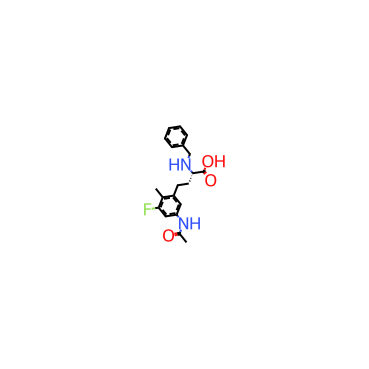 CC(=O)Nc1cc(F)c(C)c(CC[C@H](NCc2ccccc2)C(=O)O)c1